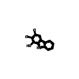 Oc1c(Cl)c(Cl)cc2c1[nH]c1ccccc12